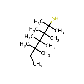 CCC(C)(C)C(C)(C)C(C)(C)C(C)(C)S